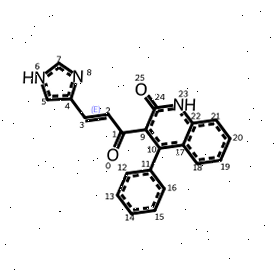 O=C(/C=C/c1c[nH]cn1)c1c(-c2ccccc2)c2ccccc2[nH]c1=O